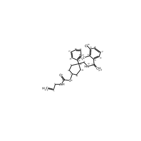 C=CCNC(=O)OC1CCC(CNC(=C)c2cccc(Cl)c2C)(c2ccccc2)CC1